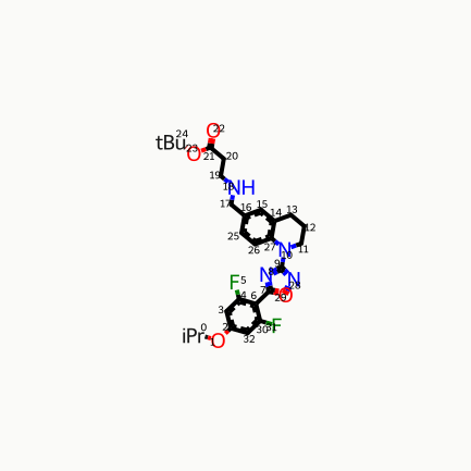 CC(C)Oc1cc(F)c(-c2nc(N3CCCc4cc(CNCCC(=O)OC(C)(C)C)ccc43)no2)c(F)c1